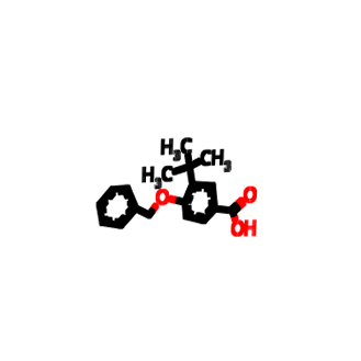 CC(C)(C)c1cc(C(=O)O)ccc1OCc1ccccc1